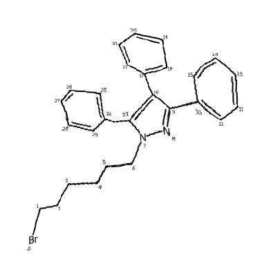 BrCCCCCCn1nc(-c2ccccc2)c(-c2ccccc2)c1-c1ccccc1